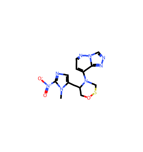 Cn1c(C2COSCN2c2ccnn3cnnc23)cnc1[N+](=O)[O-]